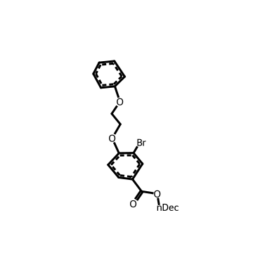 CCCCCCCCCCOC(=O)c1ccc(OCCOc2ccccc2)c(Br)c1